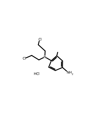 Cc1cc(N)ccc1N(CCCl)CCCl.Cl